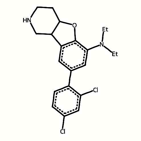 CCN(CC)c1cc(-c2ccc(Cl)cc2Cl)cc2c1OC1CCNCC21